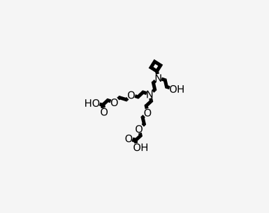 O=C(O)COCCOCCN(CCOCCOCC(=O)O)CCN(CCO)C1CCC1